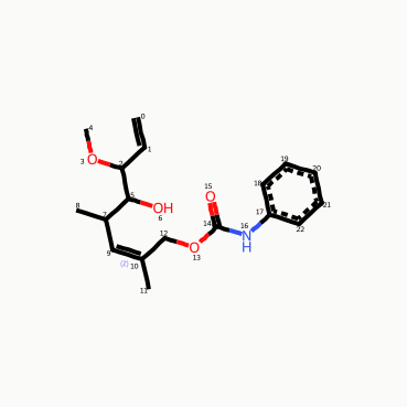 C=CC(OC)C(O)C(C)/C=C(/C)COC(=O)Nc1ccccc1